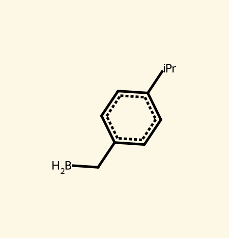 BCc1ccc(C(C)C)cc1